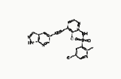 Cc1ncc(Cl)cc1S(=O)(=O)Nc1nccc(C#Cc2cnc3[nH]ncc3c2)c1Cl